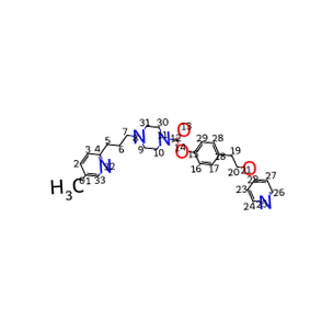 Cc1ccc(CCCN2CCN(C(=O)Oc3ccc(CCOc4ccncc4)cc3)CC2)nc1